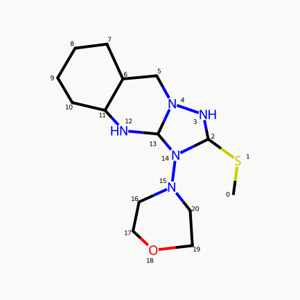 CSC1NN2CC3CCCCC3NC2N1N1CCOCC1